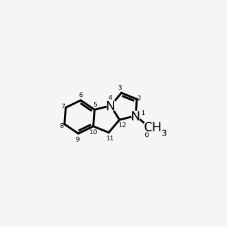 CN1C=CN2C3=CCCC=C3CC12